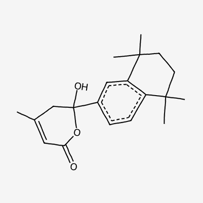 CC1=CC(=O)OC(O)(c2ccc3c(c2)C(C)(C)CCC3(C)C)C1